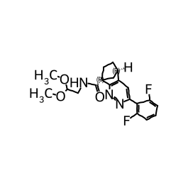 COC(CNC(=O)[C@]12CC[C@H](C1)c1cc(-c3c(F)cccc3F)nnc12)OC